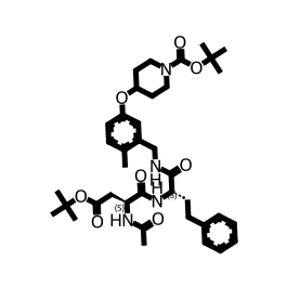 CC(=O)N[C@@H](CC(=O)OC(C)(C)C)C(=O)N[C@@H](CCc1ccccc1)C(=O)NCc1cc(OC2CCN(C(=O)OC(C)(C)C)CC2)ccc1C